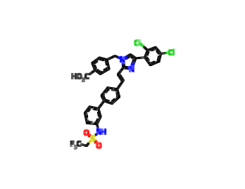 O=C(O)c1ccc(Cn2cc(-c3ccc(Cl)cc3Cl)nc2/C=C/c2ccc(-c3cccc(NS(=O)(=O)CC(F)(F)F)c3)cc2)cc1